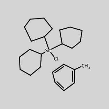 Cc1ccccc1.[Cl][Sn]([CH]1CCCCC1)([CH]1CCCCC1)[CH]1CCCCC1